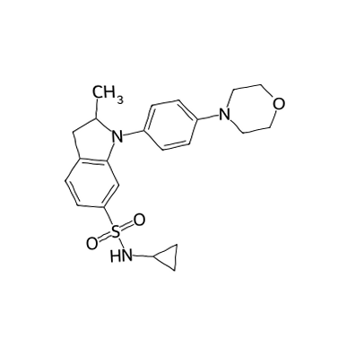 CC1Cc2ccc(S(=O)(=O)NC3CC3)cc2N1c1ccc(N2CCOCC2)cc1